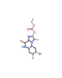 CCOC(=O)Oc1nc2c(=O)[nH]c3cc(F)c(Br)cc3n2c1C